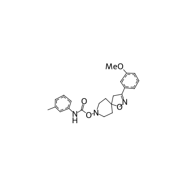 COc1cccc(C2=NOC3(CCN(OC(=O)Nc4cccc(C)c4)CC3)C2)c1